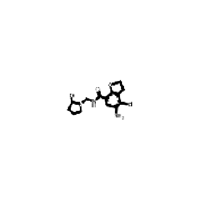 CCC1CCCN1CNC(=O)c1cc(N)c(Cl)c2c1OCC2